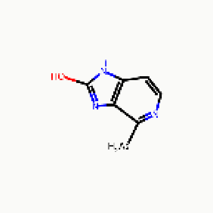 Oc1nc2c([AsH2])nccc2[nH]1